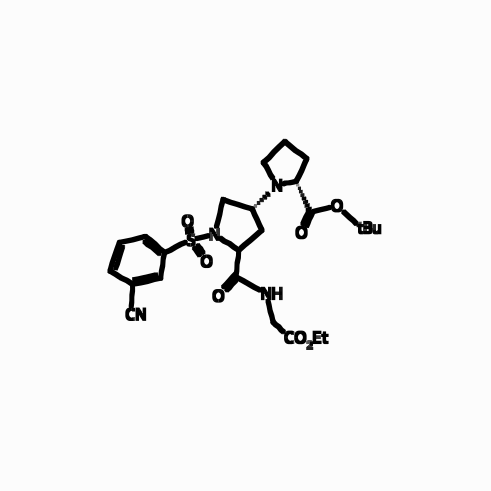 CCOC(=O)CNC(=O)C1C[C@@H](N2CCC[C@@H]2C(=O)OC(C)(C)C)CN1S(=O)(=O)c1cccc(C#N)c1